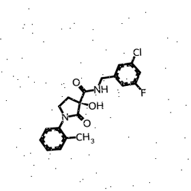 Cc1ccccc1N1CC[C@](O)(C(=O)NCc2cc(F)cc(Cl)c2)C1=O